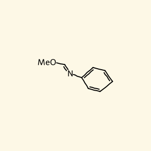 COC=Nc1ccccc1